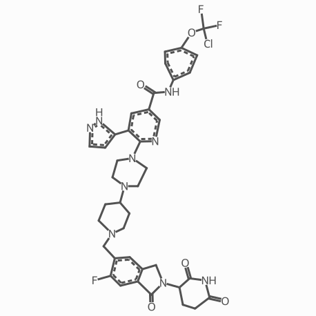 O=C1CCC(N2Cc3cc(CN4CCC(N5CCN(c6ncc(C(=O)Nc7ccc(OC(F)(F)Cl)cc7)cc6-c6ccn[nH]6)CC5)CC4)c(F)cc3C2=O)C(=O)N1